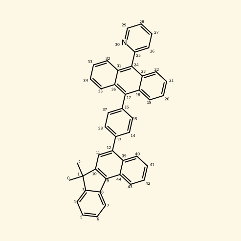 CC1(C)c2ccccc2-c2c1cc(-c1ccc(-c3c4ccccc4c(-c4ccccn4)c4ccccc34)cc1)c1ccccc21